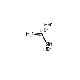 Br.Br.Br.C=C[SiH3]